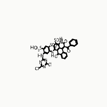 O=C(c1ccccc1)c1c2c3c(c(Nc4cc(Nc5nc(Cl)nc(Cl)n5)c(S(=O)(=O)O)cc4S(=O)(=O)O)cc(S(=O)(=O)O)c3[nH]c1=O)C(=O)c1ccccc1-2